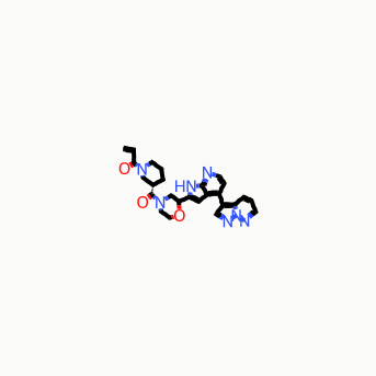 C=CC(=O)N1CCC[C@H](C(=O)N2CCOC(c3cc4c(-c5cnn6ncccc56)ccnc4[nH]3)C2)C1